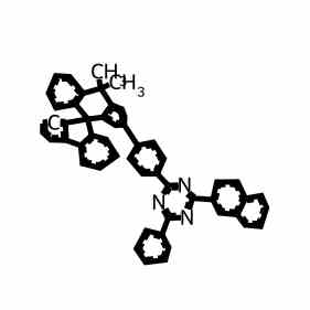 CC1(C)c2ccccc2C2(c3ccccc3-c3ccccc32)c2cc(-c3ccc(-c4nc(-c5ccccc5)nc(-c5ccc6ccccc6c5)n4)cc3)ccc21